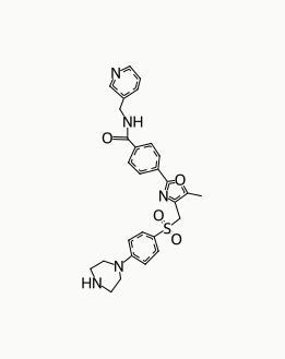 Cc1oc(-c2ccc(C(=O)NCc3cccnc3)cc2)nc1CS(=O)(=O)c1ccc(N2CCNCC2)cc1